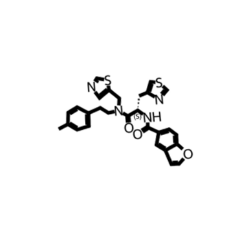 Cc1ccc(CCN(Cc2cncs2)C(=O)[C@H](Cc2cscn2)NC(=O)c2ccc3occc3c2)cc1